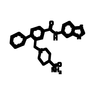 NC(=O)C1CCN(Cc2cc(C(=O)Nc3ccc4scnc4c3)ccc2-c2ccccc2)CC1